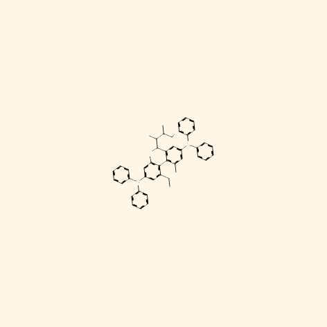 CCc1cc(N(c2ccccc2)c2ccccc2)cc(C)c1-c1c(C)cc(N(c2ccccc2)c2ccccc2)cc1C(C)C(C)C(C)CC